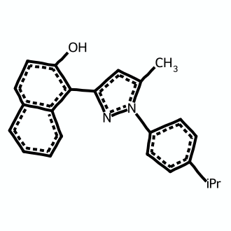 Cc1cc(-c2c(O)ccc3ccccc23)nn1-c1ccc(C(C)C)cc1